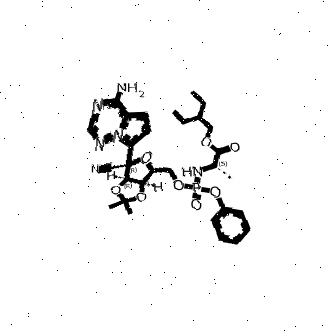 CCC(CC)COC(=O)[C@H](C)NP(=O)(OCC1O[C@@](C#N)(c2ccc3c(N)ncnn23)[C@@H]2OC(C)(C)O[C@H]12)Oc1ccccc1